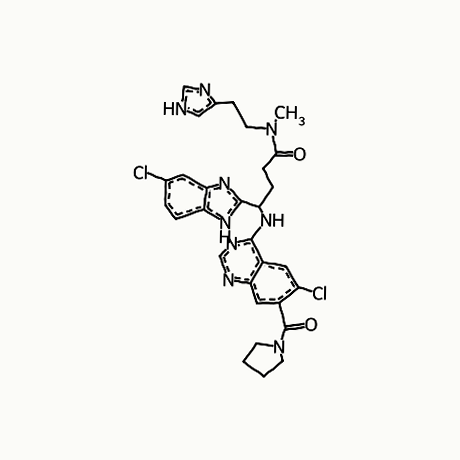 CN(CCc1c[nH]cn1)C(=O)CCC(Nc1ncnc2cc(C(=O)N3CCCC3)c(Cl)cc12)c1nc2cc(Cl)ccc2[nH]1